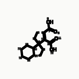 CCC(CC)(/C(=C/C(=O)O)C(=O)O)C1CCCCC1